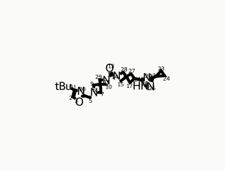 CC(C)(C)c1coc(CN2CC3(C2)CN(C(=O)N2CC4(CC(c5nc(C6CC6)n[nH]5)C4)C2)C3)n1